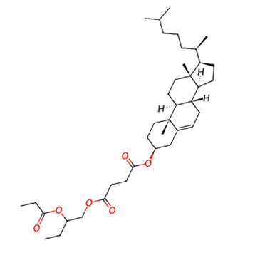 CCC(=O)OC(CC)COC(=O)CCC(=O)O[C@H]1CC[C@@]2(C)C(=CC[C@H]3[C@@H]4CC[C@H]([C@H](C)CCCC(C)C)[C@@]4(C)CC[C@@H]32)C1